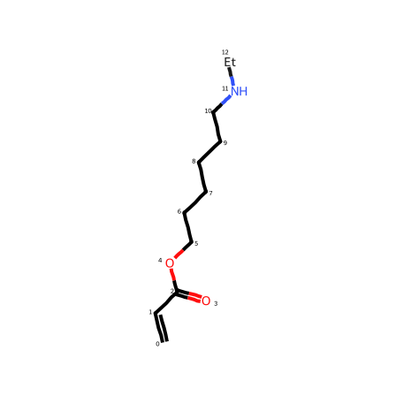 C=CC(=O)OCCCCCCNCC